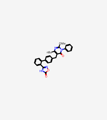 CCCCc1nc(OC)n(-c2ccccc2)c(=O)c1Cc1ccc(-c2ccccc2-c2noc(=O)[nH]2)cc1